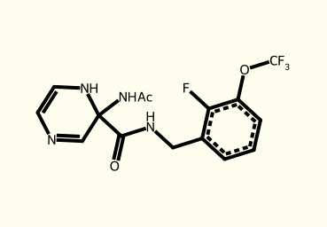 CC(=O)NC1(C(=O)NCc2cccc(OC(F)(F)F)c2F)C=NC=CN1